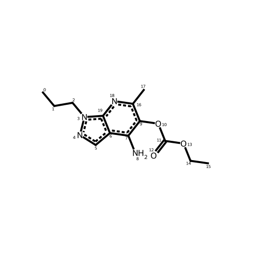 CCCn1ncc2c(N)c(OC(=O)OCC)c(C)nc21